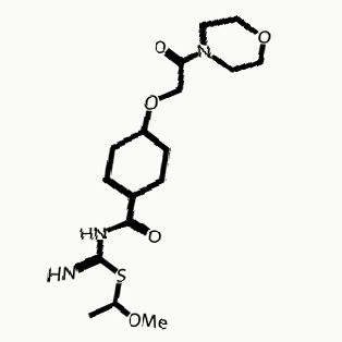 COC(C)SC(=N)NC(=O)C1CCC(OCC(=O)N2CCOCC2)CC1